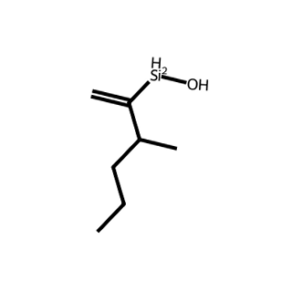 C=C([SiH2]O)C(C)CCC